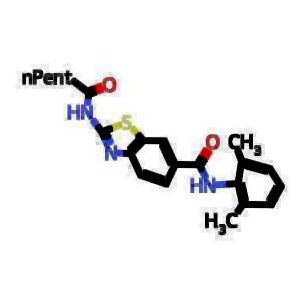 CCCCCC(=O)Nc1nc2ccc(C(=O)Nc3c(C)cccc3C)cc2s1